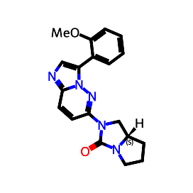 COc1ccccc1-c1cnc2ccc(N3C[C@@H]4CCCN4C3=O)nn12